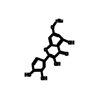 CCCCOc1cc(O)c2c(=O)c(O)c(-c3ccc(O)c(O)c3)oc2c1